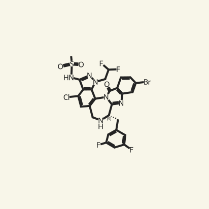 CS(=O)(=O)Nc1nn(CC(F)F)c2c3c(cc(Cl)c12)CN[C@@H](Cc1cc(F)cc(F)c1)c1nc2cc(Br)ccc2c(=O)n1-3